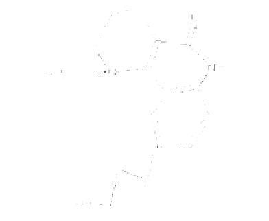 Cl.O=c1[nH]c2ccc(OCCO)cc2c2c1CCCN2